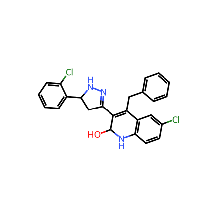 OC1Nc2ccc(Cl)cc2C(Cc2ccccc2)=C1C1=NNC(c2ccccc2Cl)C1